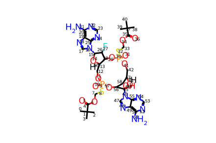 CC(C)(C)C(=O)OCSP1(=O)OC[C@H]2O[C@@H](n3cnc4c(N)ncnc43)C(F)C2OP(=O)(SCOC(=O)C(C)(C)C)OC[C@H]2OC(n3cnc4c(N)ncnc43)C(O1)C2O